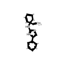 C=CC1(Nc2ncc(-c3ccccc3)[nH]2)C=CC=CC1